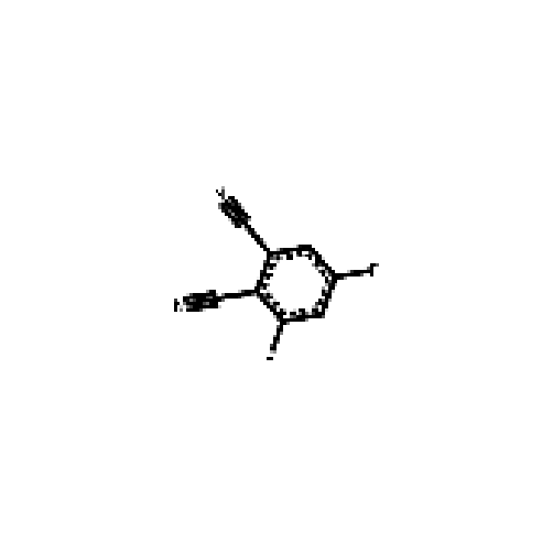 N#Cc1cc(F)cc(F)c1C#N